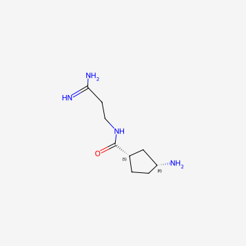 N=C(N)CCNC(=O)[C@H]1CC[C@@H](N)C1